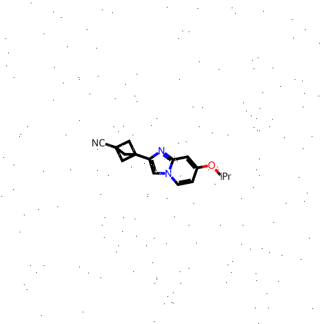 CC(C)Oc1ccn2cc(C34CC(C#N)(C3)C4)nc2c1